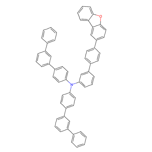 c1ccc(-c2cccc(-c3ccc(N(c4ccc(-c5cccc(-c6ccccc6)c5)cc4)c4cccc(-c5ccc(-c6ccc7oc8ccccc8c7c6)cc5)c4)cc3)c2)cc1